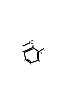 CCl.Cc1ccccc1